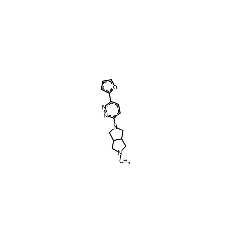 CN1CC2CN(c3ccc(-c4ccco4)nn3)CC2C1